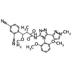 COc1cccc(OC)c1-n1c(NS(=O)(=O)C(C)C(OC)c2ccc(C#N)cc2C#N)nnc1-c1ccn(C)n1